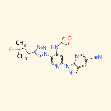 CC(C)(F)CCc1cn(-c2cnc(-n3ncc4cc(C#N)cnc43)cc2NC2COC2)nn1